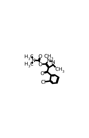 Cc1nn(C)c(OC(=O)N(C)C)c1C(=O)c1ccccc1Cl